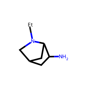 CCN1CC2CC(N)C1C2